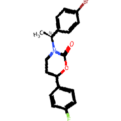 C[C@@H](c1ccc(Br)cc1)N1CCC(c2ccc(F)cc2)OC1=O